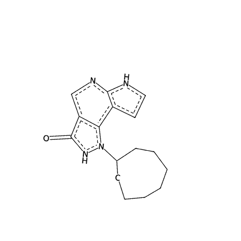 O=c1[nH]n(C2CCCCCCC2)c2c1cnc1[nH]ccc12